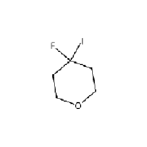 FC1(I)CCOCC1